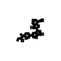 CCC(=O)N(C)c1ccc(-c2cnc3[nH]nc(-c4nc5c(C#N)cncc5[nH]4)c3c2)cn1